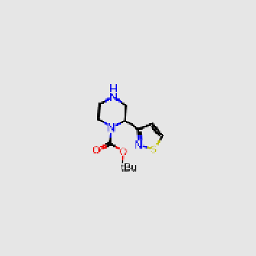 CC(C)(C)OC(=O)N1CCNCC1c1ccsn1